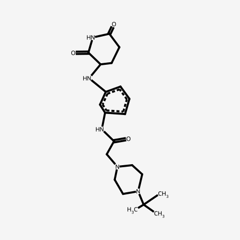 CC(C)(C)N1CCN(CC(=O)Nc2cccc(NC3CCC(=O)NC3=O)c2)CC1